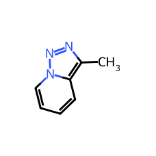 Cc1nnn2ccccc12